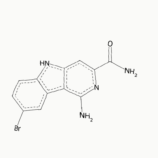 NC(=O)c1cc2[nH]c3ccc(Br)cc3c2c(N)n1